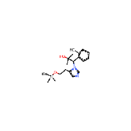 CC(C)(O)C(c1ccccc1C#N)n1cncc1CCO[Si](C)(C)C(C)(C)C